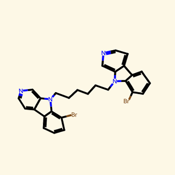 Brc1cccc2c3ccncc3n(CCCCCCn3c4cnccc4c4cccc(Br)c43)c12